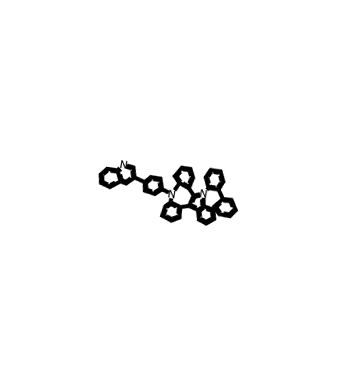 c1ccc(-c2ccccc2-n2c3c(c4ccccc42)-c2ccccc2N(c2ccc(-c4cnc5ccccc5c4)cc2)c2ccccc2-3)cc1